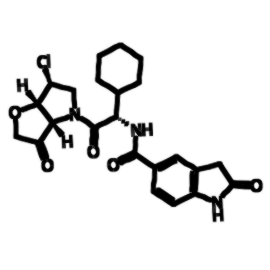 O=C1Cc2cc(C(=O)N[C@H](C(=O)N3C[C@H](Cl)[C@H]4OCC(=O)[C@H]43)C3CCCCC3)ccc2N1